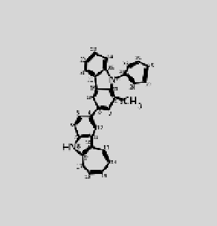 Cc1cc(-c2ccc3[nH]c4c(c3c2)C=CC=CC4)cc2c3ccccc3n(-c3ccccc3)c12